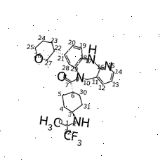 CC(N[C@H]1CC[C@H](C(=O)N2Cc3cccnc3Nc3ccc([C@H]4CCCOC4)cc32)CC1)C(F)(F)F